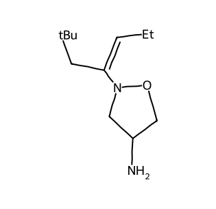 CC/C=C(/CC(C)(C)C)N1CC(N)CO1